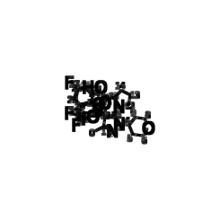 Cc1nn(C2CCOCC2)c(N2CCCC2C(=O)O)c1S(=O)(=O)c1ccc(F)cc1C(F)(F)F